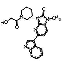 Cn1c(=O)n([C@H]2CCCN(C(=O)CO)C2)c2nc(-c3cnn4ccccc34)ccc21